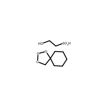 C1CCC2(CC1)COOO2.O=S(=O)(O)CCO